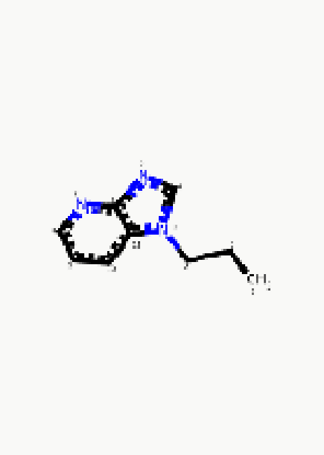 CCCn1cnc2ncccc21